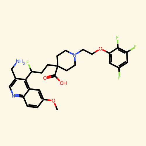 COc1ccc2ncc(CN)c(C(F)CCC3(C(=O)O)CCN(CCOc4cc(F)cc(F)c4F)CC3)c2c1